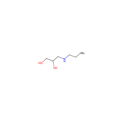 [CH2]CCCCCNCC(O)CO